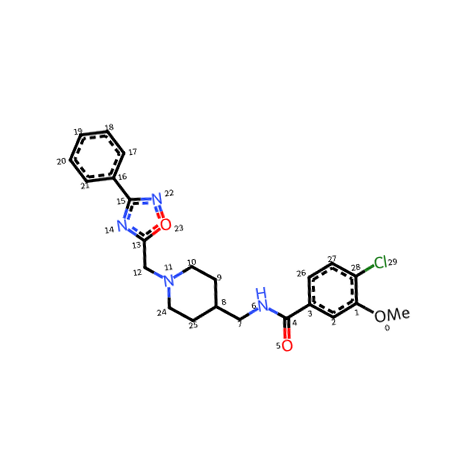 COc1cc(C(=O)NCC2CCN(Cc3nc(-c4ccccc4)no3)CC2)ccc1Cl